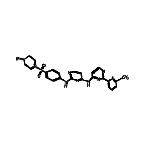 Cc1cccc(-c2nccc(Nc3ccnc(Nc4ccc(S(=O)(=O)N5CCN(C(C)C)CC5)cc4)n3)n2)n1